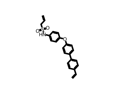 C=CCS(=O)(=O)Nc1ccc(Oc2ccc(-c3ccc(C=C)cc3)cc2)cc1